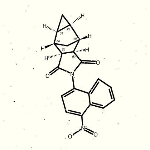 O=C1[C@@H]2[C@@H]3C[C@@H]([C@H]4C[C@H]43)[C@@H]2C(=O)N1c1ccc([N+](=O)[O-])c2ccccc12